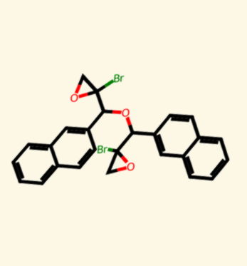 BrC1(C(OC(c2ccc3ccccc3c2)C2(Br)CO2)c2ccc3ccccc3c2)CO1